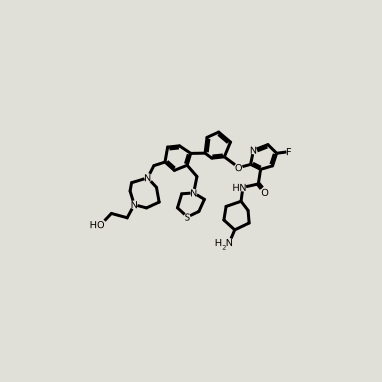 NC1CCC(NC(=O)c2cc(F)cnc2Oc2cccc(-c3ccc(CN4CCCN(CCO)CC4)cc3CN3CCSCC3)c2)CC1